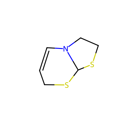 C1=CN2CCSC2SC1